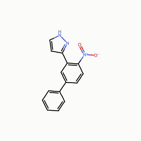 O=[N+]([O-])c1ccc(-c2ccccc2)cc1-c1cc[nH]n1